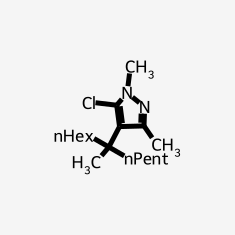 CCCCCCC(C)(CCCCC)c1c(C)nn(C)c1Cl